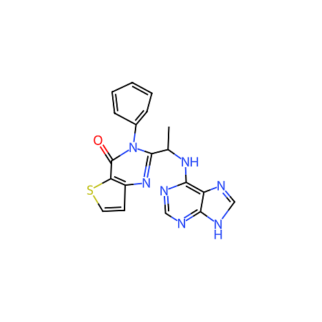 CC(Nc1ncnc2[nH]cnc12)c1nc2ccsc2c(=O)n1-c1ccccc1